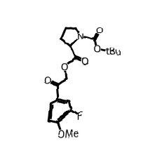 COc1ccc(C(=O)COC(=O)C2CCCN2C(=O)OC(C)(C)C)cc1F